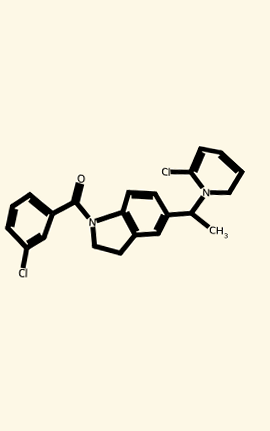 CC(c1ccc2c(c1)CCN2C(=O)c1cccc(Cl)c1)N1CC=CC=C1Cl